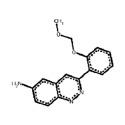 COCOc1ccccc1-c1cc2cc(N)ccc2nn1